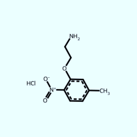 Cc1ccc([N+](=O)[O-])c(OCCN)c1.Cl